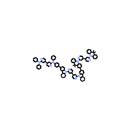 CC1(C)c2ccccc2N(c2cc(-c3ccnc(N4c5ccccc5C(C)(C)c5cc(-c6ccc7c8c(n(-c9cc(-c%10ccnc(-n%11c%12c(c%13cc(-c%14ccc(N(c%15ccccc%15)c%15cc(-c%16ccnc(N(c%17ccccc%17)c%17ccccc%17)c%16)ccn%15)cc%14)ccc%13%11)CCCC%12)c%10)ccn9)c7c6)CCCC8)ccc54)c3)ccn2)c2ccccc21